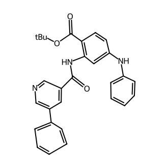 CC(C)(C)OC(=O)c1ccc(Nc2ccccc2)cc1NC(=O)c1cncc(-c2ccccc2)c1